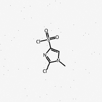 Cn1cc(S(=O)(=O)Cl)nc1Cl